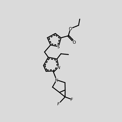 CCOC(=O)c1ccc(Cc2ccc(N3CC4C(C3)C4(F)F)nc2CC)s1